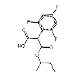 CCC(C)OC(=O)C(C(=O)O)c1c(F)cc(F)cc1F